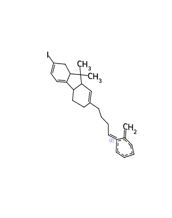 C=c1cccc/c1=C/CCCC1=CC2C(CC1)C1=CC=C(I)CC1C2(C)C